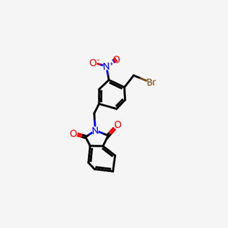 O=C1c2ccccc2C(=O)N1Cc1ccc(CBr)c([N+](=O)[O-])c1